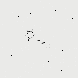 Cc1cn(CC(O)C=CP(=O)(O)O)c(=O)[nH]c1=O